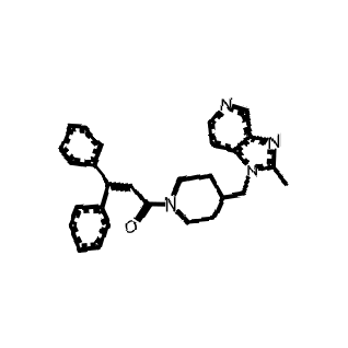 Cc1nc2cnccc2n1CC1CCN(C(=O)C=C(c2ccccc2)c2ccccc2)CC1